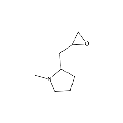 CN1CCCC1CC1CO1